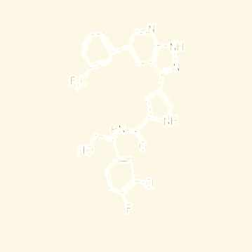 O=C(NC(CO)c1ccc(F)c(Cl)c1)c1cc(-c2n[nH]c3ncc(-c4cccc(C(F)(F)F)c4)cc23)c[nH]1